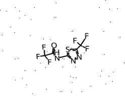 O=C(Nc1nnc(C(F)(F)F)s1)C(F)(F)F